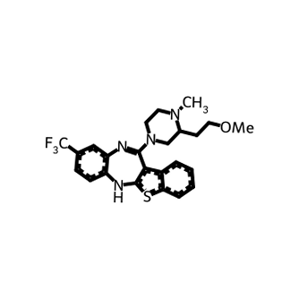 COCCC1CN(C2=Nc3cc(C(F)(F)F)ccc3Nc3sc4ccccc4c32)CCN1C